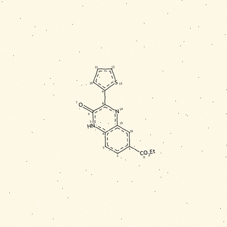 CCOC(=O)c1ccc2[nH]c(=O)c(-c3cccs3)nc2c1